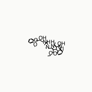 CCOC(=O)C1=C(CN(C)CC(C)(C)NCC(O)COc2ccccc2OC)NC(C)=C(C(=O)O)C1c1ccccc1Cl